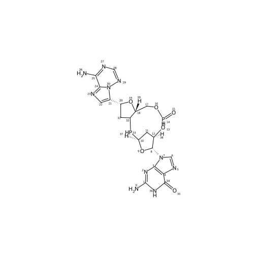 Nc1nc2c(ncn2[C@@H]2O[C@@H]3C[C@H]2O[PH](=O)OC[C@H]2O[C@@H](c4cnc5c(N)ncnn45)CC2P3)c(=O)[nH]1